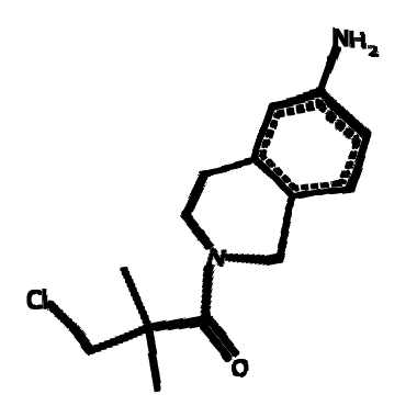 CC(C)(CCl)C(=O)N1CCc2cc(N)ccc2C1